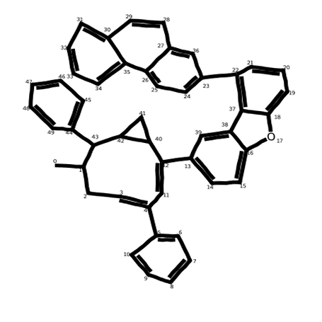 CC1C/C=C(c2ccccc2)/C=C(/c2ccc3oc4cccc(-c5ccc6c(ccc7ccccc76)c5)c4c3c2)C2CC2C1c1ccccc1